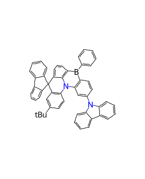 CC(C)(C)c1ccc2c(c1)C1(c3ccccc3-c3ccccc31)c1cccc3c1N2c1cc(-n2c4ccccc4c4ccccc42)ccc1B3c1ccccc1